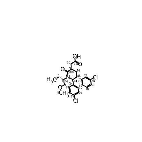 CC[C@@H](COC)N1C(=O)[C@@H](CC(=O)O)C[C@H](c2cccc(Cl)c2)C1c1ccc(Cl)cc1